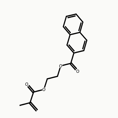 C=C(C)C(=O)OCCOC(=O)c1ccc2ccccc2c1